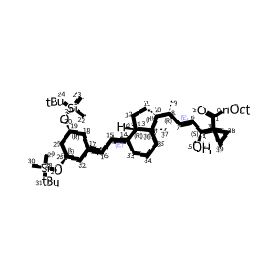 CCCCCCCCC(=O)C1([C@@H](O)/C=C/[C@@H](C)[C@H]2CC[C@H]3/C(=C/C=C4C[C@@H](O[Si](C)(C)C(C)(C)C)C[C@H](O[Si](C)(C)C(C)(C)C)C4)CCC[C@]23C)CC1